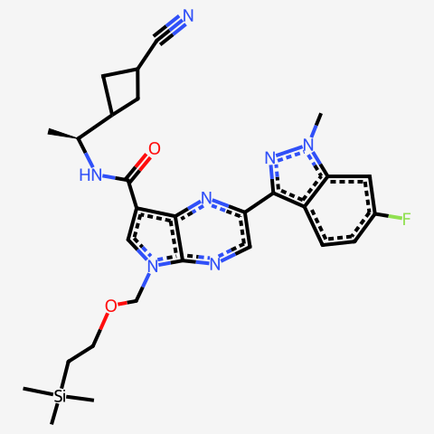 C[C@H](NC(=O)c1cn(COCC[Si](C)(C)C)c2ncc(-c3nn(C)c4cc(F)ccc34)nc12)C1CC(C#N)C1